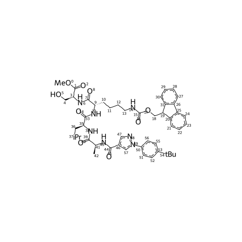 COC(=O)[C@H](CO)NC(=O)[C@H](CCCCNC(=O)OCC1c2ccccc2-c2ccccc21)NC(=O)[C@H](CC(C)C)NC(=O)[C@H](C)NC(=O)c1cnn(-c2ccc(C(C)(C)C)cc2)c1